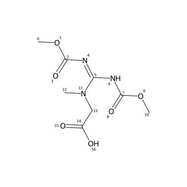 COC(=O)/N=C(/NC(=O)OC)N(C)CC(=O)O